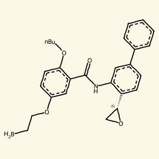 BCCOc1ccc(OCCCC)c(C(=O)Nc2cc(-c3ccccc3)ccc2[C@H]2CO2)c1